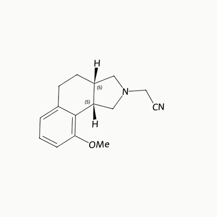 COc1cccc2c1[C@H]1CN(CC#N)C[C@H]1CC2